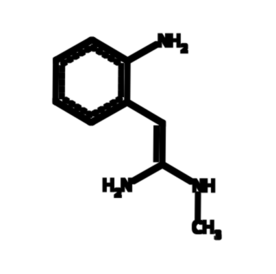 CN/C(N)=C/c1ccccc1N